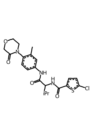 Cc1cc(NC(=O)C(NC(=O)c2ccc(Cl)s2)C(C)C)ccc1N1CCOCC1=O